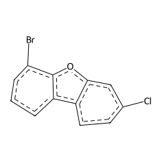 Clc1ccc2c(c1)oc1c(Br)cccc12